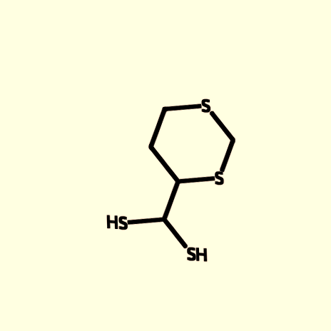 SC(S)C1CCSCS1